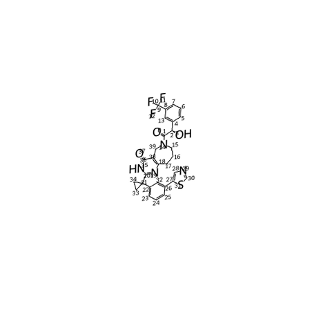 O=C([C@H](O)c1cccc(C(F)(F)F)c1)N1CCCc2nc(C3(c4cccc(-c5cncs5)c4)CC3)[nH]c(=O)c2C1